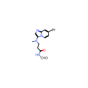 CC(C)c1ccn2c(N(C)CCC(=O)NC=O)cnc2c1